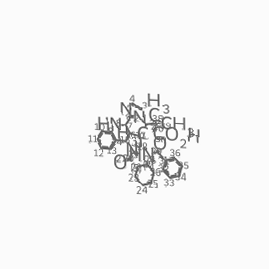 CC(n1ccnc1C1Nc2ccccc2C2C1CCN2C(=O)[C@H]1CCCC[C@H]1NC(=O)c1ccccc1)C(C)(C)C(=O)O